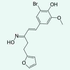 COc1cc(/C=C/C(CCc2ccco2)=N/O)cc(Br)c1O